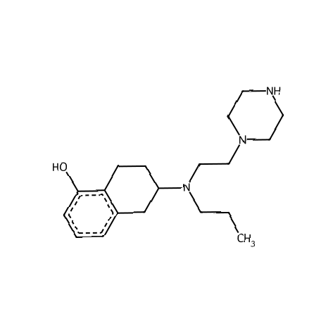 CCCN(CCN1CCNCC1)C1CCc2c(O)cccc2C1